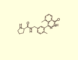 Cc1ccc(CNC(=O)C2CCCN2)cc1-c1n[nH]c(=O)c2cccc(C)c12